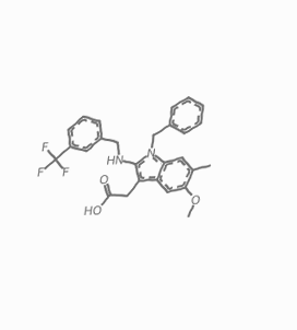 COc1cc2c(CC(=O)O)c(NCc3cccc(C(F)(F)F)c3)n(Cc3ccccc3)c2cc1C